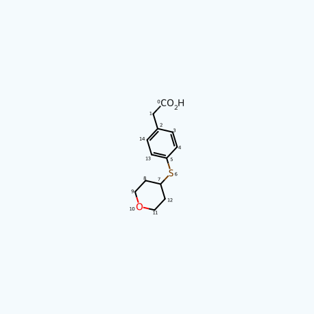 O=C(O)Cc1ccc(SC2CCOCC2)cc1